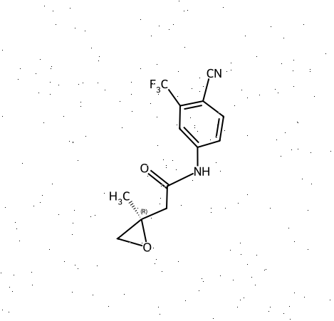 C[C@@]1(CC(=O)Nc2ccc(C#N)c(C(F)(F)F)c2)CO1